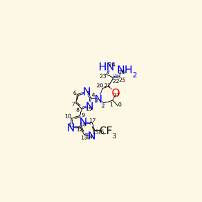 CC1CN(c2nccc(-c3cnc4cnc(C(F)(F)F)cn34)n2)CC(/C(C=N)=C/N)O1